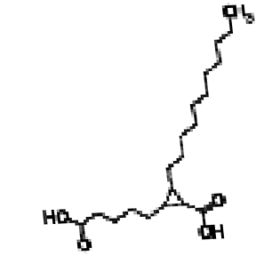 CCCCCCCCCCCC1C(CCCCC(=O)O)C1C(=O)O